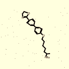 CCCCC(C)CCCCCOc1ccc(-c2ccc(C3=NCCO3)cc2)cc1